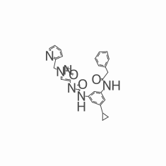 O=C(Cc1ccccc1)Nc1cc(NC(=O)[N-]c2c[n+](Cc3ccccn3)no2)cc(C2CC2)c1